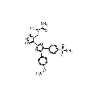 COc1ccc(-c2nc(-c3[nH]nnc3CN(O)C(N)=O)oc2-c2ccc(S(N)(=O)=O)cc2)cc1